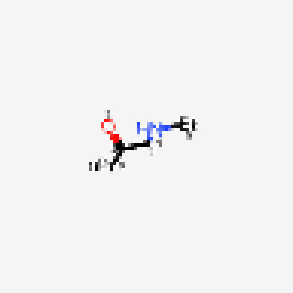 CCCC(=O)CNCC